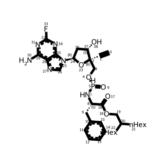 C#C[C@]1(CO[PH](=O)N[C@@H](Cc2ccccc2)C(=O)OCC(CCCCCC)CCCCCC)O[C@@H](n2cnc3c(N)nc(F)nc32)C[C@@H]1O